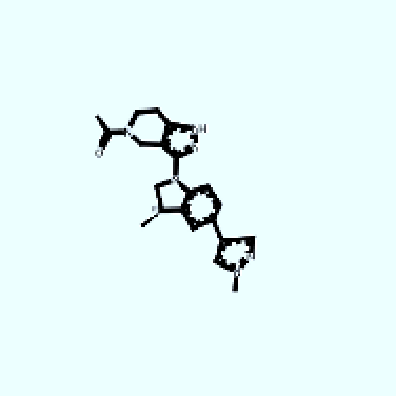 CC(=O)N1CCc2[nH]nc(N3C[C@H](C)c4cc(-c5cnn(C)c5)ccc43)c2C1